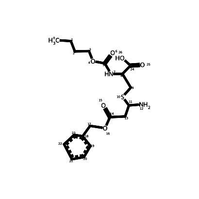 CCCCOC(=O)NC(CSC(N)CC(=O)OCc1ccccc1)C(=O)O